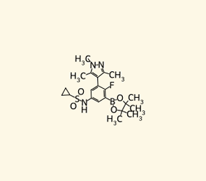 Cc1nn(C)c(C)c1-c1cc(NS(=O)(=O)C2CC2)cc(B2OC(C)(C)C(C)(C)O2)c1F